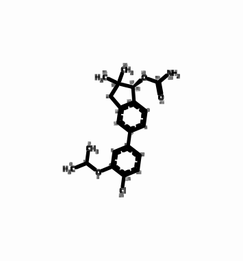 CC(C)Oc1cc(-c2ccc3c(c2)CC(C)(C)[C@H]3OC(N)=O)ccc1Cl